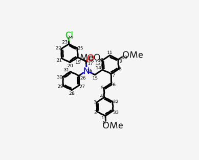 COc1ccc(C=Cc2cc(OC)cc(OC)c2CN(C(=O)c2cccc(Cl)c2)c2ccccc2)cc1